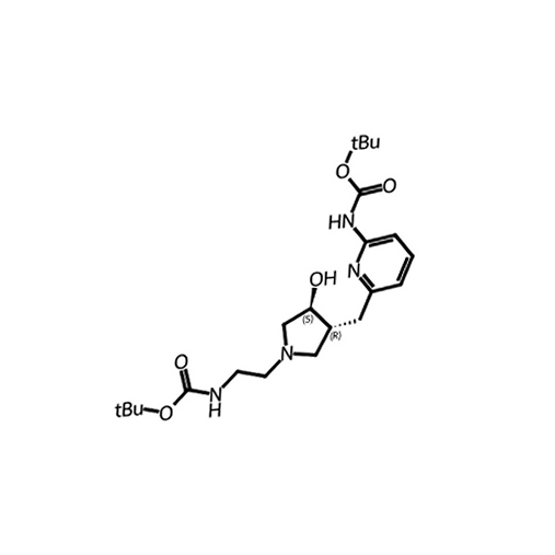 CC(C)(C)OC(=O)NCCN1C[C@@H](Cc2cccc(NC(=O)OC(C)(C)C)n2)[C@H](O)C1